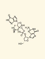 Nc1nc2c(ncn2[C@@H]2O[C@H](CO)C[C@H]2OP(=O)(S)OC2[C@H]3O[C@@H](n4cnc5c(=O)[nH]cnc54)[C@@H](F)[C@@]23O[PH](=O)S)c(=O)[nH]1